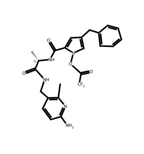 Cc1nc(N)ccc1CNC(=O)[C@H](C)NC(=O)c1cc(Cc2ccccc2)cn1OC(=O)C(F)(F)F